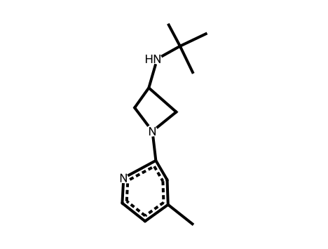 Cc1ccnc(N2CC(NC(C)(C)C)C2)c1